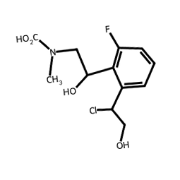 CN(CC(O)c1c(F)cccc1C(Cl)CO)C(=O)O